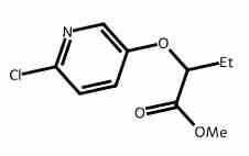 CCC(Oc1ccc(Cl)nc1)C(=O)OC